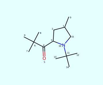 CC1CC(C(=O)C(C)(C)C)N(C(C)(C)C)C1